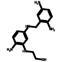 Nc1ccc(N)c(CNc2ccc(N)c(NCCO)c2)c1